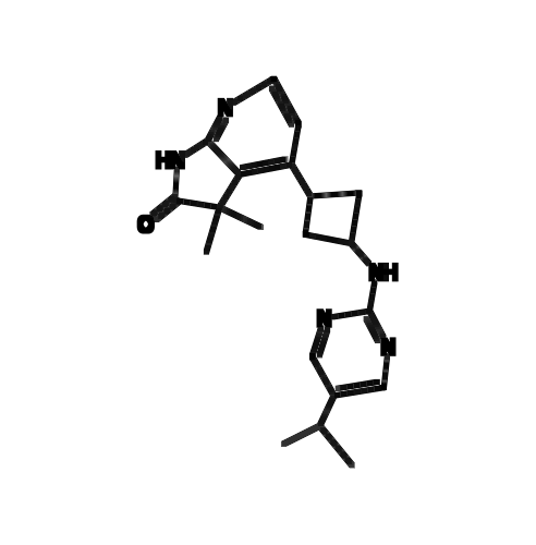 CC(C)c1cnc(NC2CC(c3ccnc4c3C(C)(C)C(=O)N4)C2)nc1